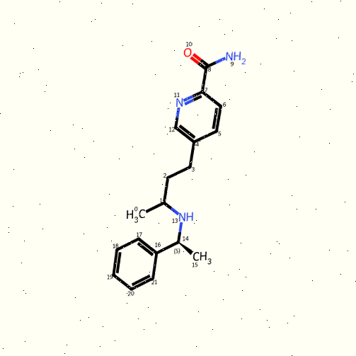 CC(CCc1ccc(C(N)=O)nc1)N[C@@H](C)c1ccccc1